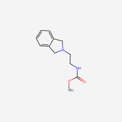 CC(C)(C)OC(=O)NCCN1Cc2ccccc2C1